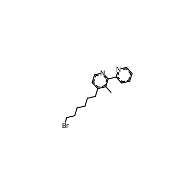 Cc1c(CCCCCCBr)ccnc1-c1ccccn1